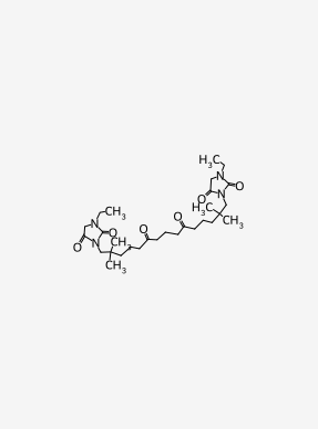 CCN1CC(=O)N(CC(C)(C)CCCC(=O)CCCC(=O)CCCC(C)(C)CN2C(=O)CN(CC)C2=O)C1=O